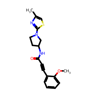 COc1ccccc1C#CC(=O)NC1CCN(c2nc(C)cs2)C1